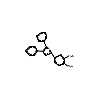 COc1ccc(-c2cc(-c3ccccc3)c(-c3ccccc3)s2)cc1OC